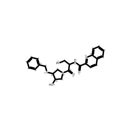 CC(C)CC(NC(=O)c1ccc2ccccc2n1)C(=O)N1CC(O)C(SCc2ccccc2)C1